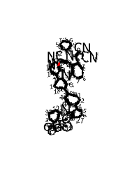 N#CC(C#N)=c1c2cccc(-n3c4ccccc4c4ccc(-c5ccc6c7ccccc7n(-c7cccc8c7S(=O)(=O)OS8(=O)=O)c6c5)cc43)c2c(=C(C#N)C#N)n1-c1ccccc1